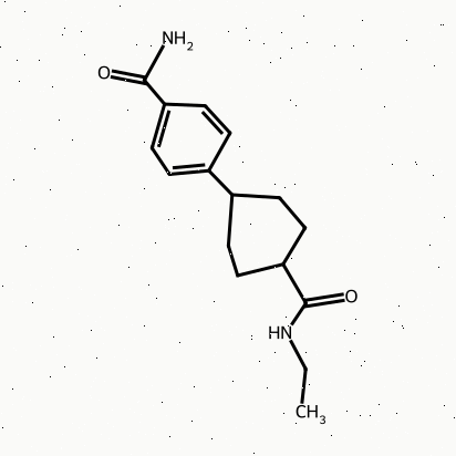 CCNC(=O)C1CCC(c2ccc(C(N)=O)cc2)CC1